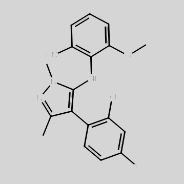 COc1cccc(N)c1Nc1c(-c2ccc(F)cc2Cl)c(C)nn1C